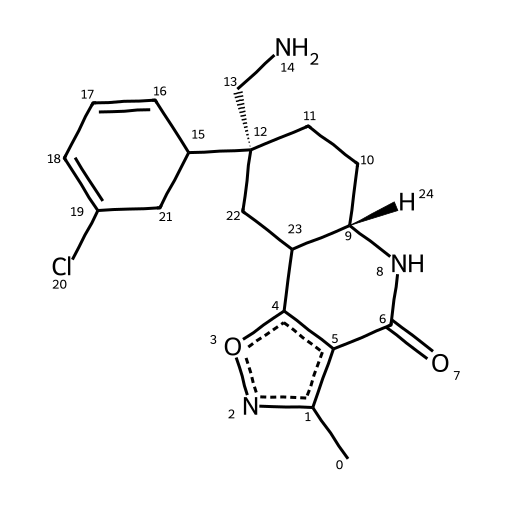 Cc1noc2c1C(=O)N[C@H]1CC[C@](CN)(C3C=CC=C(Cl)C3)CC21